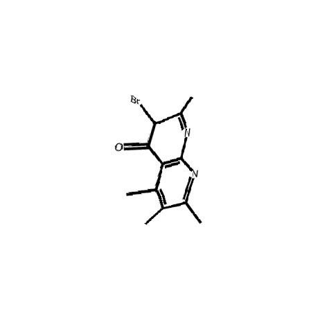 CC1=Nc2nc(C)c(C)c(C)c2C(=O)C1Br